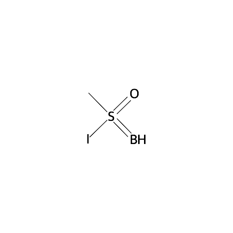 B=S(C)(=O)I